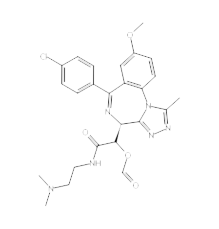 COc1ccc2c(c1)C(c1ccc(Cl)cc1)=N[C@H](C(OC=O)C(=O)NCCN(C)C)c1nnc(C)n1-2